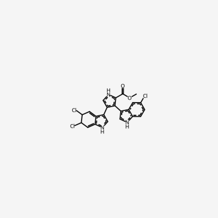 COC(=O)c1[nH]cc(-c2c[nH]c3c2=CC(Cl)C(Cl)C=3)c1-c1c[nH]c2ccc(Cl)cc12